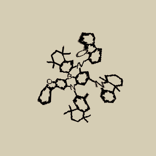 Cc1cc2c(cc1N1c3cc4c(cc3B3c5cc6c(cc5N(c5cccc7c5oc5ccccc57)c5cc(N7c8ccccc8C8(C)CCCCC78C)cc1c53)C(C)(C)CCC6(C)C)oc1ccccc14)C(C)(C)CCC2(C)C